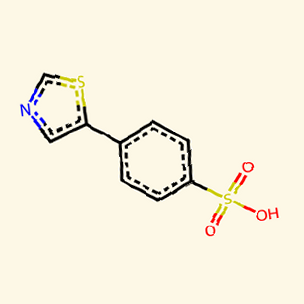 O=S(=O)(O)c1ccc(-c2cncs2)cc1